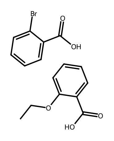 CCOc1ccccc1C(=O)O.O=C(O)c1ccccc1Br